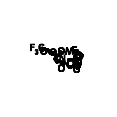 COc1nc(C(=O)N2CC[C@]3(c4cccc(F)c4)OCOC3C2)ccc1OCCOC(F)(F)F